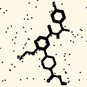 CN(NC(=O)c1cnc(OCC(F)(F)F)c(C2CCN(C(=O)OC(C)(C)C)CC2)c1)c1ccc(F)cc1